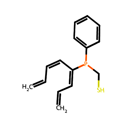 C=C/C=C\C(=C/C=C)P(CS)c1ccccc1